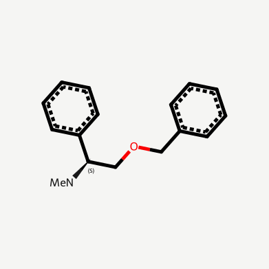 CN[C@H](COCc1ccccc1)c1ccccc1